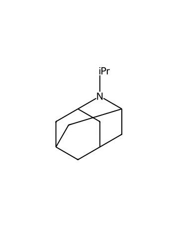 CC(C)N1C2CC3CC(C2)CC1C3